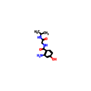 CC(C)NC(=O)CNC(=O)c1ccc(O)cc1N